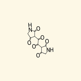 O=C1CNC(=O)C1C(=O)C(=O)C1C(=O)CNC1=O